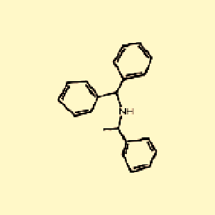 CC(NC(c1ccccc1)c1ccccc1)c1ccccc1